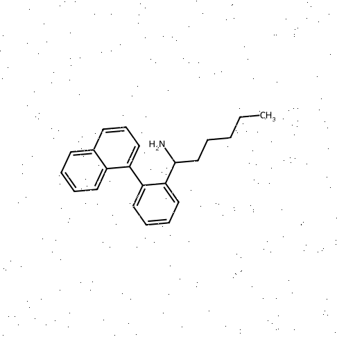 CCCCCC(N)c1ccccc1-c1cccc2ccccc12